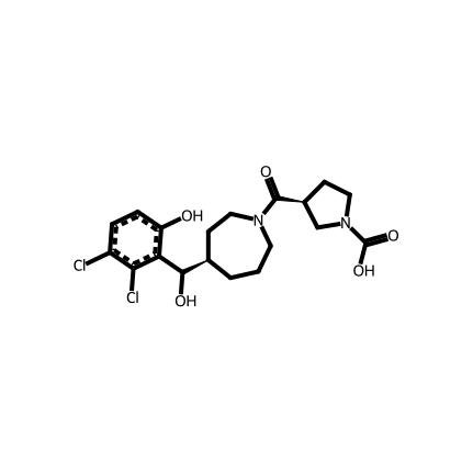 O=C(O)N1CC[C@H](C(=O)N2CCC[C@@H](C(O)c3c(O)ccc(Cl)c3Cl)CC2)C1